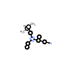 C[C@@H]1C[C@@H]2C[C@H](C)CC(c3ccc(-c4nc(-c5ccc6ccccc6c5)nc(-c5ccc(-c6ccc(C#N)cc6)c6ccccc56)n4)cc3)(C1)C2